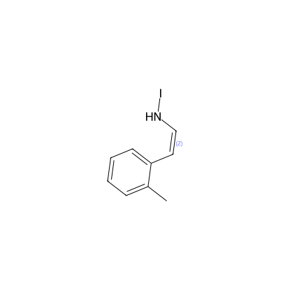 Cc1ccccc1/C=C\NI